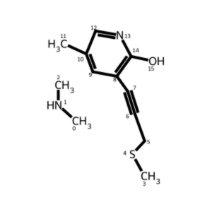 CNC.CSCC#Cc1cc(C)cnc1O